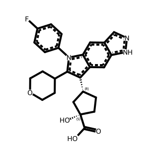 O=C(O)[C@]1(O)CC[C@@H](c2c(C3CCOCC3)n(-c3ccc(F)cc3)c3cc4cn[nH]c4cc23)C1